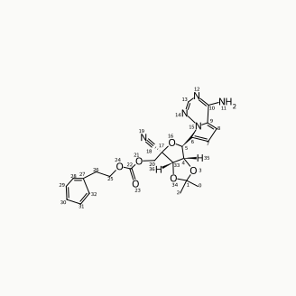 CC1(C)O[C@H]2[C@H](c3ccc4c(N)ncnn34)O[C@](C#N)(COC(=O)OCCc3ccccc3)[C@H]2O1